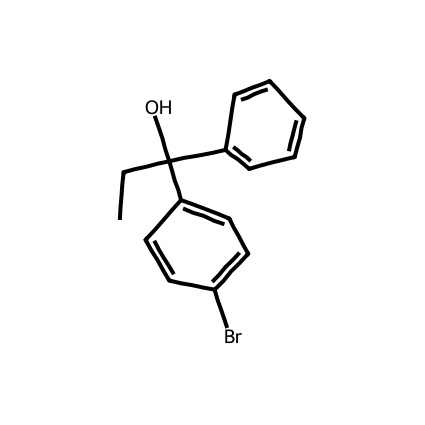 CCC(O)(c1ccccc1)c1ccc(Br)cc1